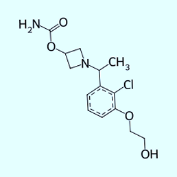 CC(c1cccc(OCCO)c1Cl)N1CC(OC(N)=O)C1